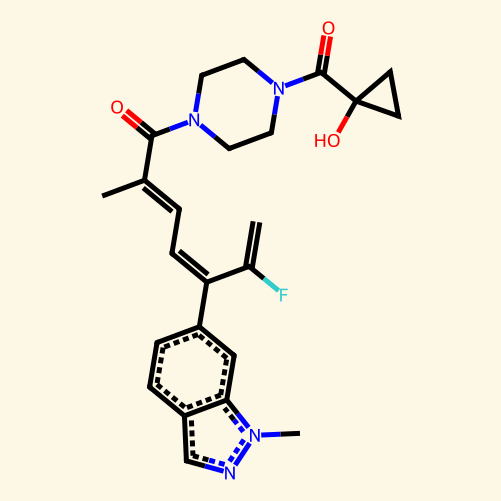 C=C(F)/C(=C\C=C(/C)C(=O)N1CCN(C(=O)C2(O)CC2)CC1)c1ccc2cnn(C)c2c1